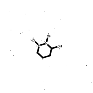 OC1CCCN(O)N1O